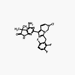 CC1(C)C(=O)Nc2nc(C3=C4C=CN(Cl)C[N+]4C(Cc4c(F)ccc(F)c4F)=N3)nc(N)c21